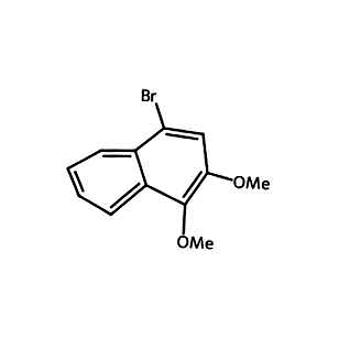 COc1cc(Br)c2ccccc2c1OC